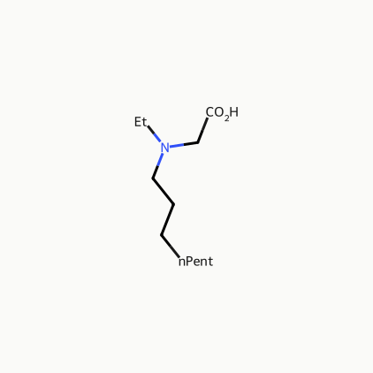 CCCCCCCCN(CC)CC(=O)O